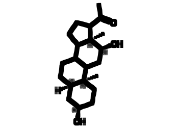 CC(=O)C1CCC2C3CC[C@@H]4C[C@H](O)CC[C@]4(C)C3C[C@H](O)[C@]12C